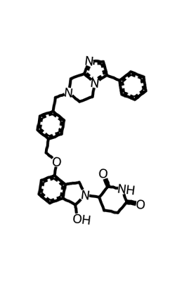 O=C1CCC(N2Cc3c(OCc4ccc(CN5CCn6c(-c7ccccc7)cnc6C5)cc4)cccc3C2O)C(=O)N1